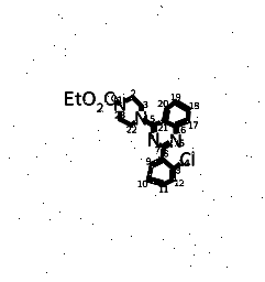 CCOC(=O)N1CCN(c2nc(-c3ccccc3Cl)nc3ccccc23)CC1